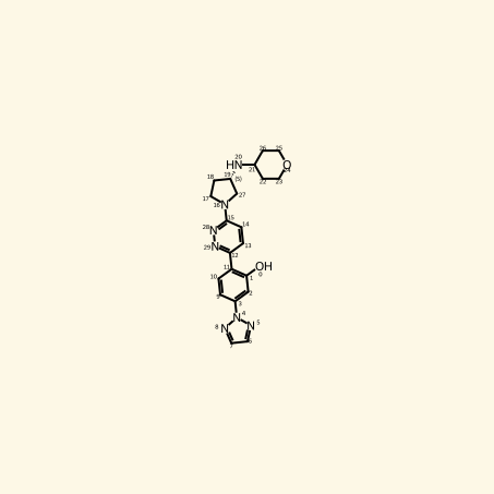 Oc1cc(-n2nccn2)ccc1-c1ccc(N2CC[C@H](NC3CCOCC3)C2)nn1